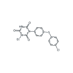 CCn1c(=O)[nH]c(=O)n(-c2ccc(Sc3ccc(Cl)cc3)cc2)c1=O